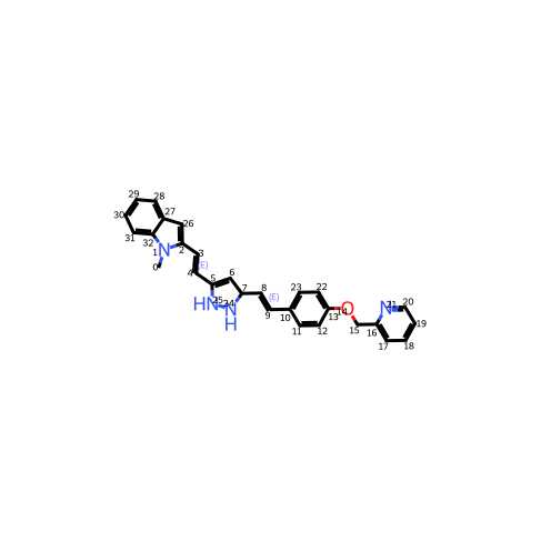 Cn1c(/C=C/C2=CC(/C=C/c3ccc(OCc4ccccn4)cc3)NN2)cc2ccccc21